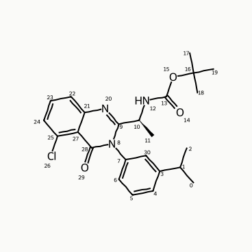 CC(C)c1cccc(-n2c([C@H](C)NC(=O)OC(C)(C)C)nc3cccc(Cl)c3c2=O)c1